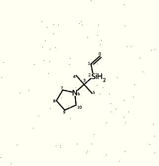 C=C[SiH2]C(C)(C)N1CCCC1